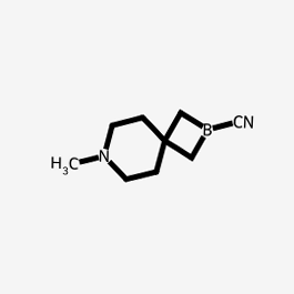 CN1CCC2(CC1)CB(C#N)C2